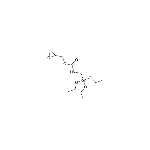 CCO[Si](CNC(=O)OCC1CO1)(OCC)OCC